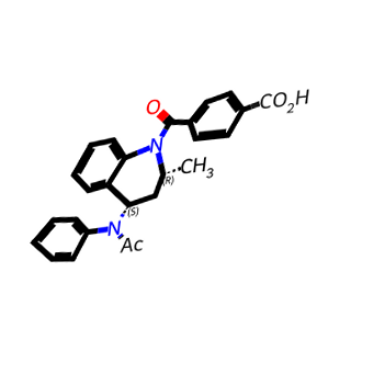 CC(=O)N(c1ccccc1)[C@H]1C[C@@H](C)N(C(=O)c2ccc(C(=O)O)cc2)c2ccccc21